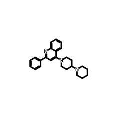 c1ccc(-c2cc(N3CCC(N4CCCCC4)CC3)c3ccccc3n2)cc1